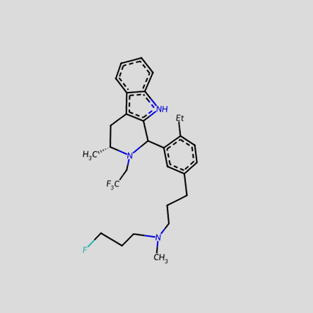 CCc1ccc(CCCN(C)CCCF)cc1C1c2[nH]c3ccccc3c2C[C@@H](C)N1CC(F)(F)F